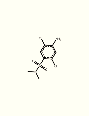 CN(C)S(=O)(=O)c1cc(Cl)c(N)cc1Cl